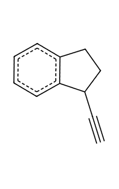 C#CC1CCc2ccccc21